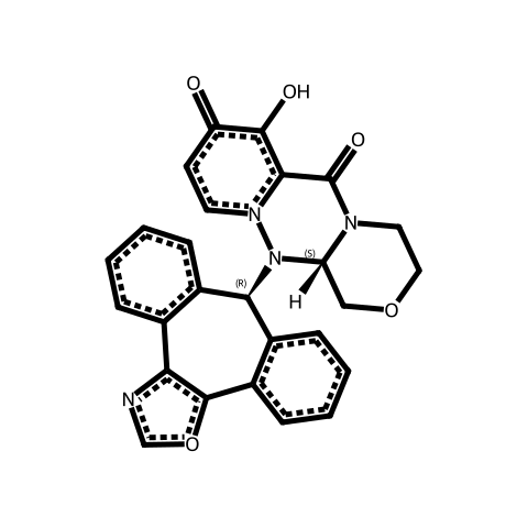 O=C1c2c(O)c(=O)ccn2N([C@@H]2c3ccccc3-c3ncoc3-c3ccccc32)[C@H]2COCCN12